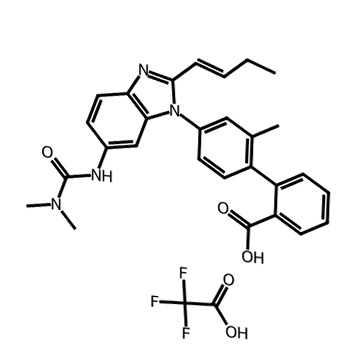 CCC=Cc1nc2ccc(NC(=O)N(C)C)cc2n1-c1ccc(-c2ccccc2C(=O)O)c(C)c1.O=C(O)C(F)(F)F